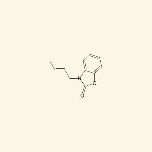 C/C=C/Cn1c(=O)oc2ccccc21